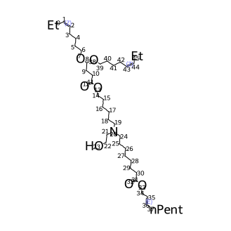 CC/C=C\CCCCOC(CCC(=O)OCCCCCCN(CCO)CCCCCCCC(=O)OC/C=C/CCCCC)OCCCC/C=C\CC